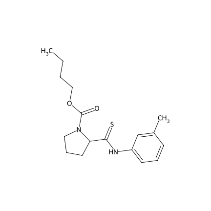 CCCCOC(=O)N1CCCC1C(=S)Nc1cccc(C)c1